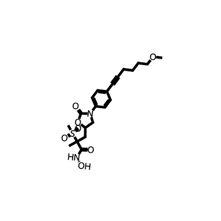 COCCCCC#Cc1ccc(N2CC(CC(C)(C(=O)NO)S(C)(=O)=O)OC2=O)cc1